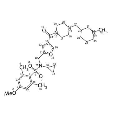 COc1cc(C)c(S(=O)(=O)N(Cc2cc(C(=O)N3CCN(CC4CCCN(C)C4)CC3)co2)C2CC2)c(C)c1